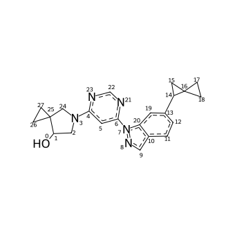 OC1CN(c2cc(-n3ncc4ccc(C5CC56CC6)cc43)ncn2)CC12CC2